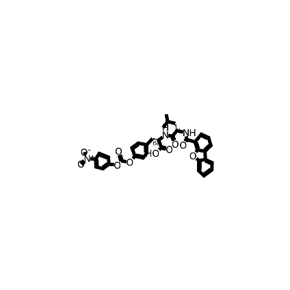 CC(C)C[C@H](NC(=O)c1cccc2c1oc1ccccc12)C(=O)N[C@@H](Cc1ccc(OC(=O)Oc2ccc([N+](=O)[O-])cc2)cc1)C(=O)O